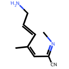 C\N=C(C#N)/C=C(C)\C=C\CN